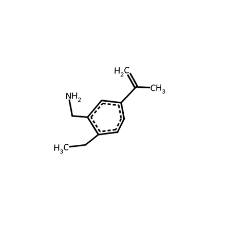 C=C(C)c1ccc(CC)c(CN)c1